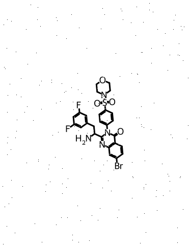 NC(Cc1cc(F)cc(F)c1)c1nc2cc(Br)ccc2c(=O)n1-c1ccc(S(=O)(=O)N2CCOCC2)cc1